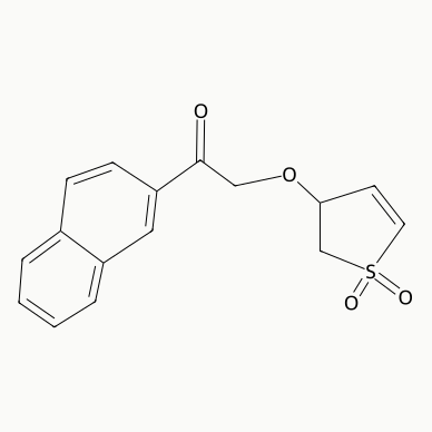 O=C(COC1C=CS(=O)(=O)C1)c1ccc2ccccc2c1